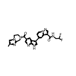 Cc1cn2c(n1)CN(C(=O)c1cnc3[nH]cc(-c4ccn5ncc(C(=O)NCC(F)F)c5c4)c3c1)CC2